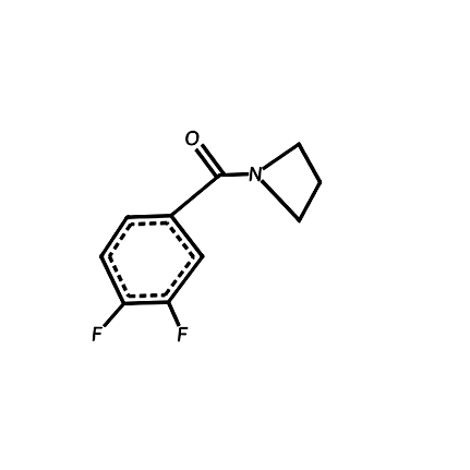 O=C(c1ccc(F)c(F)c1)N1CCC1